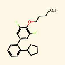 O=C(O)CCCOc1c(F)cc(-c2ccccc2C2CCCC2)cc1F